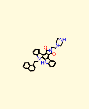 O=C1c2c(c3c4ccccc4n(CCc4cccc5ccccc45)c3c3[nH]c4ccccc4c23)C(=O)N1CCN1CCNCC1